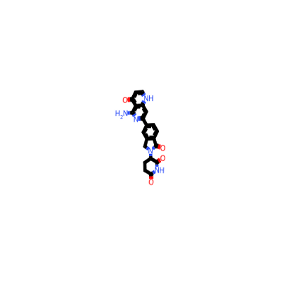 Nc1nc(-c2ccc3c(c2)CN(C2CCC(=O)NC2=O)C3=O)cc2[nH]ccc(=O)c12